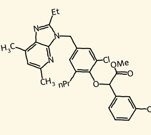 CCCc1cc(Cn2c(CC)nc3c(C)cc(C)nc32)cc(Cl)c1OC(C(=O)OC)c1cccc(Cl)c1